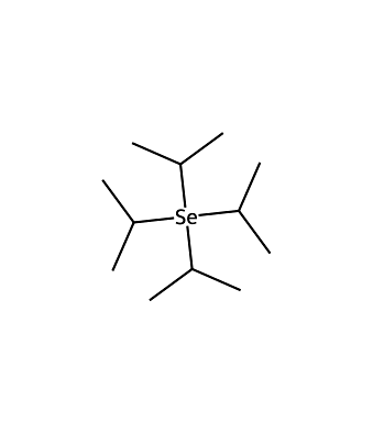 CC(C)[Se](C(C)C)(C(C)C)C(C)C